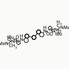 CN[C@@H](C)C(=O)N[C@H](C(=O)N1CCC[C@H]1N[C@@H]1CCCc2c(-c3cccc(-c4cccc5c4CCC[C@H]5NC(=O)[C@@H]4CCCN4C(=O)[C@@H](NC(=O)[C@H](C)NC)C(C)(C)C)c3)cccc21)C(C)(C)C